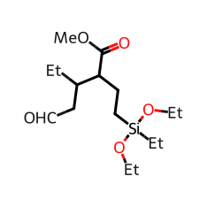 CCO[Si](CC)(CCC(C(=O)OC)C(CC)CC=O)OCC